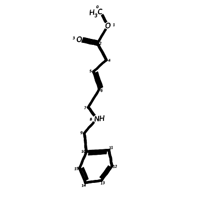 COC(=O)CC=CCNCc1ccccc1